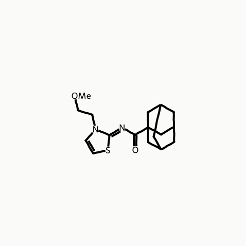 COCCn1ccs/c1=N\C(=O)C12CC3CC(CC(C3)C1)C2